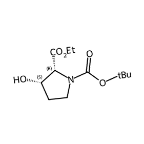 CCOC(=O)[C@H]1[C@@H](O)CCN1C(=O)OC(C)(C)C